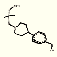 CC(C)(CN1CCC(c2ccc(CO)cc2)CC1)OC=O